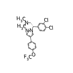 CN(C)C[C@H](c1ccc(Cl)c(Cl)c1)n1cc(-c2ccc(OC(F)(F)F)cc2)cn1